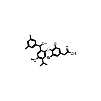 COc1cc(C(O)c2cc(C)cc(C)c2)c(Oc2c(Br)cc(CC(=O)O)cc2Br)cc1C(C)C